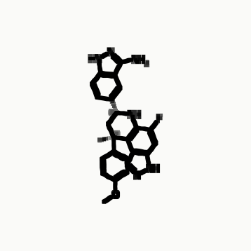 COc1ccc([C@@]2(C)C[C@H](c3ccc4[nH]nc(N)c4c3)Nc3c(F)cc4[nH]ncc4c32)cc1